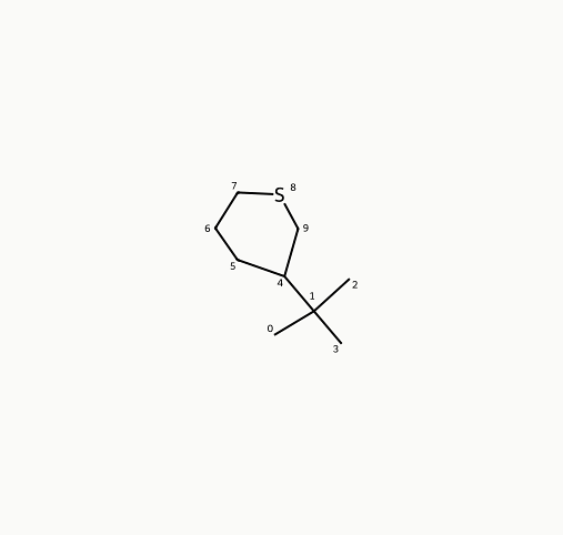 CC(C)(C)C1CCCSC1